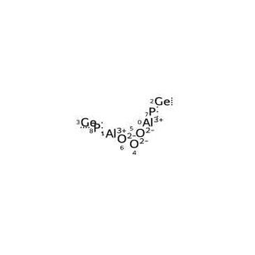 [Al+3].[Al+3].[Ge].[Ge].[O-2].[O-2].[O-2].[P].[P]